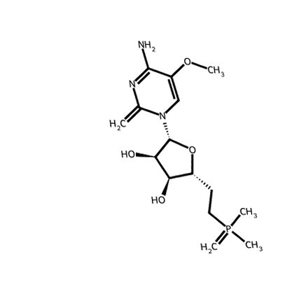 C=C1N=C(N)C(OC)=CN1[C@@H]1O[C@H](CCP(=C)(C)C)[C@@H](O)[C@H]1O